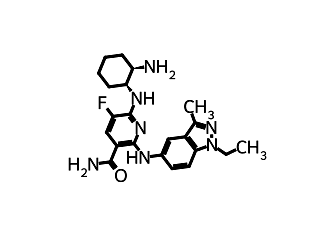 CCn1nc(C)c2cc(Nc3nc(N[C@H]4CCCC[C@H]4N)c(F)cc3C(N)=O)ccc21